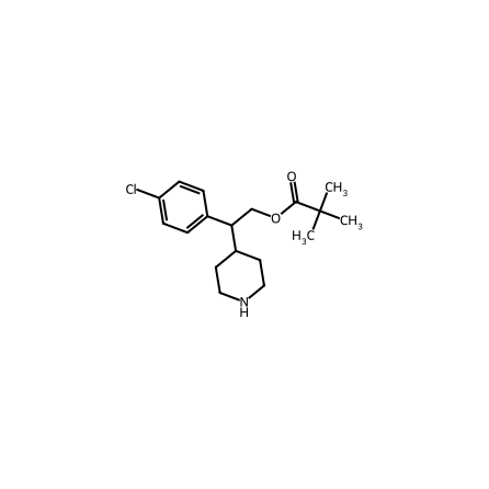 CC(C)(C)C(=O)OCC(c1ccc(Cl)cc1)C1CCNCC1